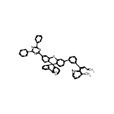 C=C/C=C(/c1cccc(-c2ccc3c(c2)Sc2cc(-c4nc(-c5ccccc5)nc(-c5ccccc5)n4)ccc2C32c3ccccc3-c3ccccc32)c1)c1ncccc1C